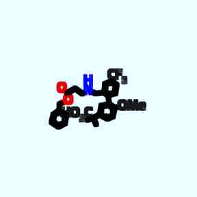 COc1ccc(C(C)(C)C(=O)O)cc1-c1ccc(C(F)(F)F)cc1CNCCC(=O)OCc1ccccc1